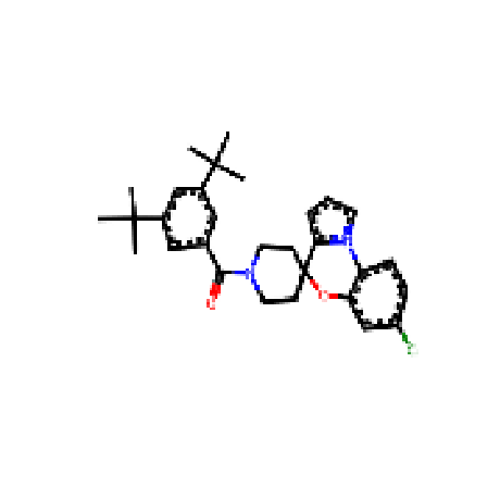 CC(C)(C)c1cc(C(=O)N2CCC3(CC2)Oc2cc(Cl)ccc2-n2cccc23)cc(C(C)(C)C)c1